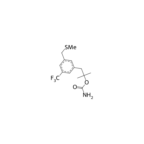 CSCc1cc(CC(C)(C)OC(N)=O)cc(C(F)(F)F)c1